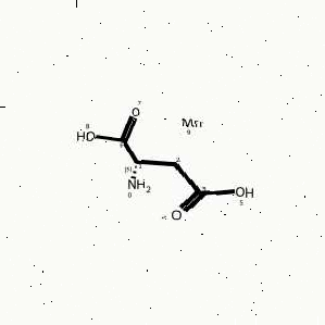 N[C@@H](CC(=O)O)C(=O)O.[Mn]